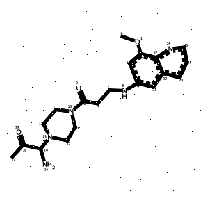 COc1cc(NCCC(=O)N2CCN(C(N)C(C)=O)CC2)cc2cccnc12